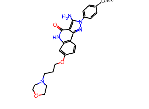 COc1ccc(-n2nc3c(c2N)c(=O)[nH]c2cc(OCCCN4CCOCC4)ccc23)cc1